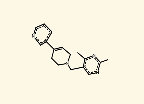 Cc1ncc(CN2CC=C(c3cccnc3)CC2)c(C)n1